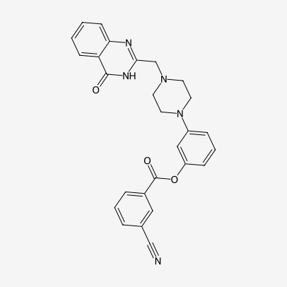 N#Cc1cccc(C(=O)Oc2cccc(N3CCN(Cc4nc5ccccc5c(=O)[nH]4)CC3)c2)c1